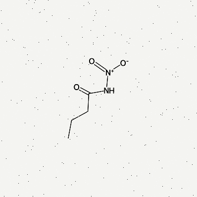 CCCC(=O)N[N+](=O)[O-]